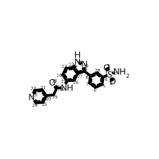 NS(=O)(=O)c1cccc(-c2n[nH]c3ccc(NC(=O)Cc4ccncc4)cc23)c1